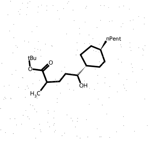 CCCCC[C@H]1CC[C@H](C(O)CCC(C)C(=O)OC(C)(C)C)CC1